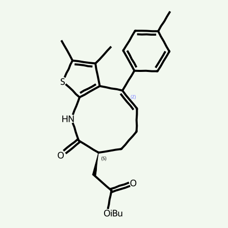 Cc1ccc(/C2=C/CC[C@@H](CC(=O)OCC(C)C)C(=O)Nc3sc(C)c(C)c32)cc1